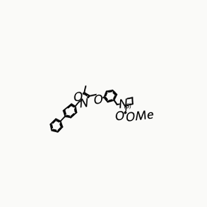 COC(=O)[C@@H]1CCCN1Cc1cccc(OCc2nc(-c3ccc(-c4ccccc4)cc3)oc2C)c1